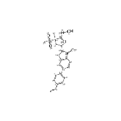 CCc1ccc(-c2ccc3c(c2)CN(CCC(C)(C(=O)NO)S(C)(=O)=O)C3=O)cc1